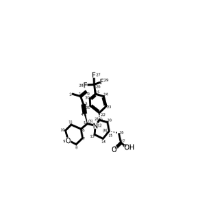 C=C(C)C#C[C@H](C1CCOCC1)N1CC[C@@H](CC(=O)O)C[C@H]1c1ccc(C(F)(F)F)cc1